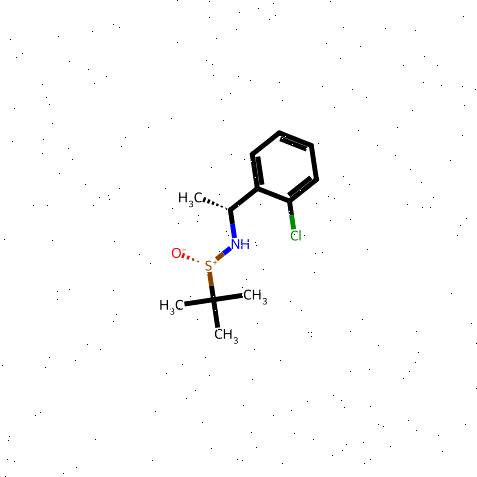 C[C@@H](N[S@@+]([O-])C(C)(C)C)c1ccccc1Cl